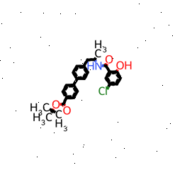 CC(Cc1ccc(-c2ccc(C(=O)OC(C)(C)C)cc2)cc1)NC(=O)c1cc(Cl)ccc1O